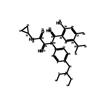 CCN(CC)Cc1ccc(N(C(=N)C(=O)NC2CC2)C(=N)c2cc(C(C)C)c(C)cc2O)cc1